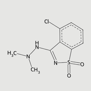 CN(C)NC1=NS(=O)(=O)c2cccc(Cl)c21